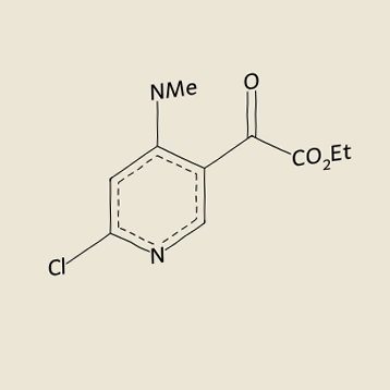 CCOC(=O)C(=O)c1cnc(Cl)cc1NC